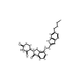 CCCCc1ccc2cc(COc3cccc4c3CN(C3CCC(=O)NC3=O)C4=O)sc2c1